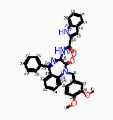 COc1ccc(CN2C(=O)C(NC(=O)c3cc4ccccc4[nH]3)N=C(c3ccccc3)c3ccccc32)cc1OC